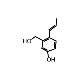 C/C=C/c1ccc(O)cc1CO